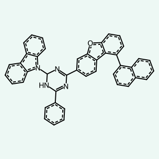 c1ccc(C2=NC(c3ccc4c(c3)oc3cccc(-c5cccc6ccccc56)c34)=NC(n3c4ccccc4c4ccccc43)N2)cc1